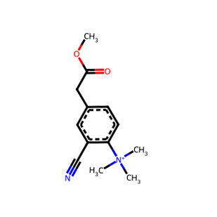 COC(=O)Cc1ccc([N+](C)(C)C)c(C#N)c1